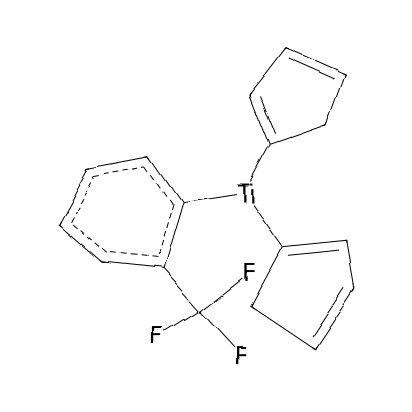 FC(F)(F)c1cccc[c]1[Ti]([C]1=CC=CC1)[C]1=CC=CC1